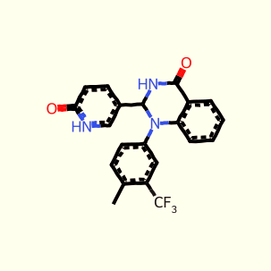 Cc1ccc(N2c3ccccc3C(=O)NC2c2ccc(=O)[nH]c2)cc1C(F)(F)F